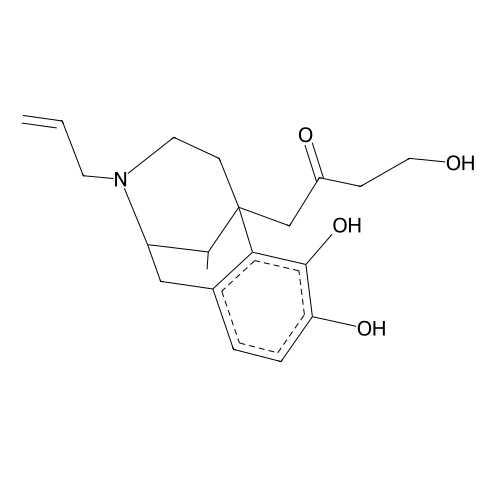 C=CCN1CCC2(CC(=O)CCO)c3c(ccc(O)c3O)CC1C2C